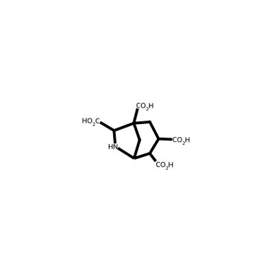 O=C(O)C1CC2(C(=O)O)CC(NC2C(=O)O)C1C(=O)O